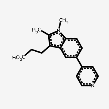 Cc1c(CCC(=O)O)c2cc(-c3ccncc3)ccc2n1C